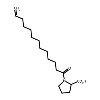 C=CCCCCCCCCCCC(=O)N1CCCC1C(=O)O